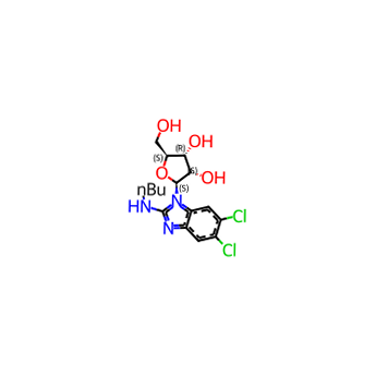 CCCCNc1nc2cc(Cl)c(Cl)cc2n1[C@H]1O[C@@H](CO)[C@H](O)[C@@H]1O